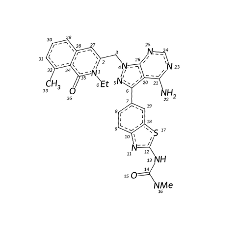 CCn1c(Cn2nc(-c3ccc4nc(NC(=O)NC)sc4c3)c3c(N)ncnc32)cc2cccc(C)c2c1=O